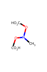 CN(OC(=O)O)OC(=O)O